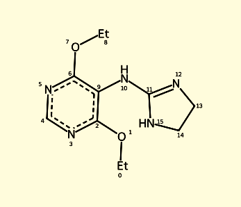 CCOc1ncnc(OCC)c1NC1=NCCN1